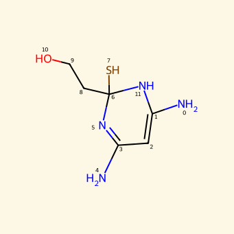 NC1=CC(N)=NC(S)(CCO)N1